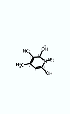 CCN1C(O)=CC(C)=C(C#N)C1O